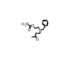 CC(=O)CCN(CCOC(N)=O)Cc1ccccc1